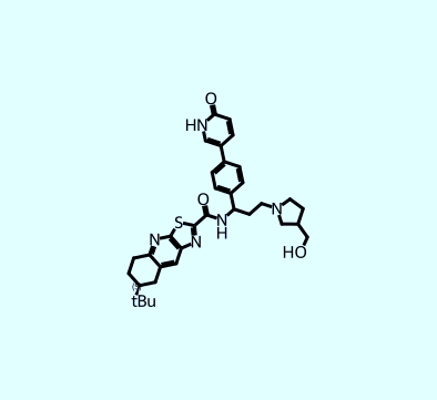 CC(C)(C)[C@H]1CCc2nc3sc(C(=O)NC(CCN4CCC(CO)C4)c4ccc(-c5ccc(=O)[nH]c5)cc4)nc3cc2C1